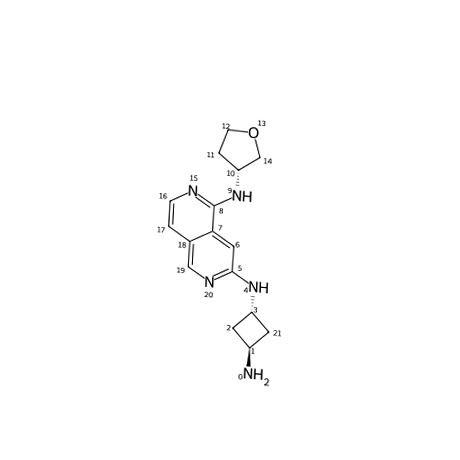 N[C@H]1C[C@H](Nc2cc3c(N[C@@H]4CCOC4)nccc3cn2)C1